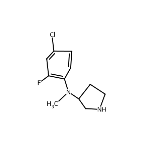 CN(c1ccc(Cl)cc1F)C1CCNC1